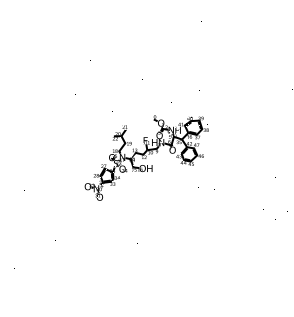 COC(=O)N[C@H](C(=O)NCC(F)CC[C@@H](CO)N(CCC(C)C)S(=O)(=O)c1ccc([N+](=O)[O-])cc1)C(c1ccccc1)c1ccccc1